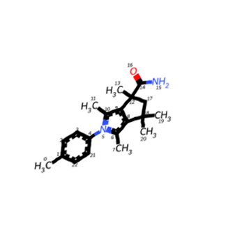 Cc1ccc(-n2c(C)c3c(c2C)C(C)(C(N)=O)CC3(C)C)cc1